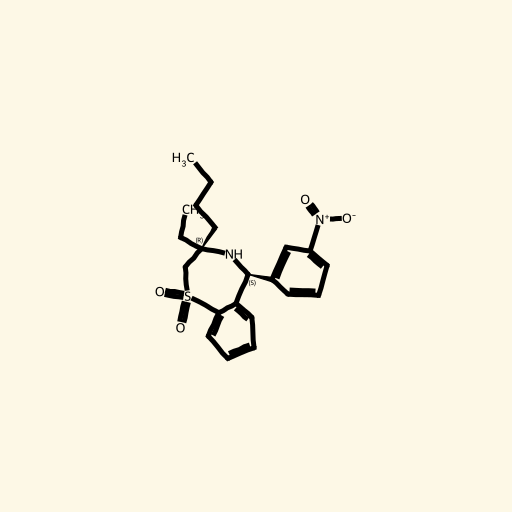 CCCC[C@]1(CC)CS(=O)(=O)c2ccccc2[C@H](c2cccc([N+](=O)[O-])c2)N1